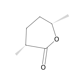 C[C@@H]1CC[C@H](C)OC1=O